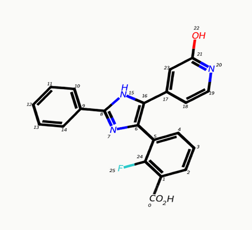 O=C(O)c1cccc(-c2nc(-c3ccccc3)[nH]c2-c2ccnc(O)c2)c1F